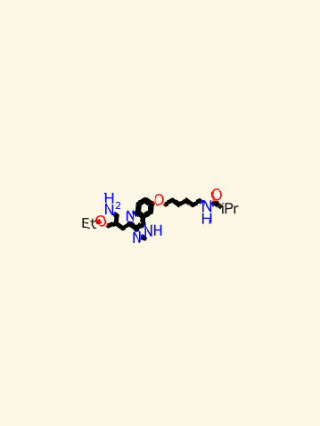 CCOCC(CN)Cc1nc2ccc(OCCCCCCNC(=O)C(C)C)cc2c2[nH]cnc12